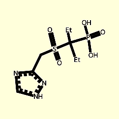 CCC(CC)(P(=O)(O)O)S(=O)(=O)Cc1nc[nH]n1